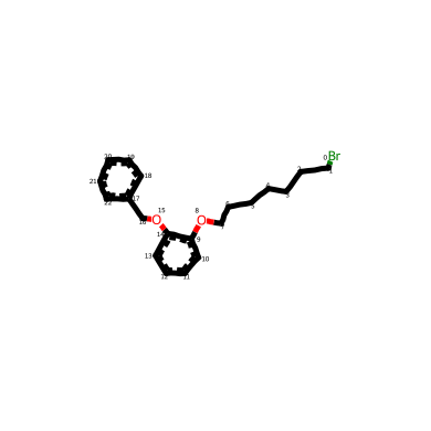 BrCCCCCCCOc1ccccc1OCc1ccccc1